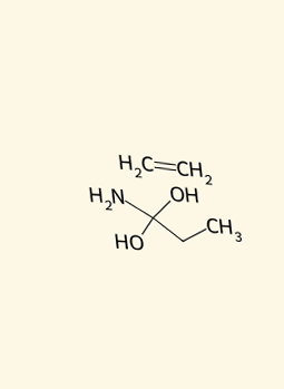 C=C.CCC(N)(O)O